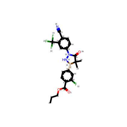 CCCOC(=O)c1ccc([SH]2NN(c3ccc(C#N)c(C(F)(F)F)c3)C(=O)C2(C)C)cc1F